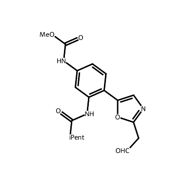 CCCC(C)C(=O)Nc1cc(NC(=O)OC)ccc1-c1cnc(CC=O)o1